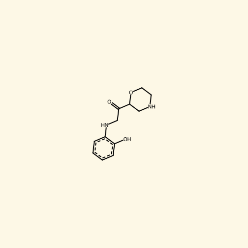 O=C(CNc1ccccc1O)C1CNCCO1